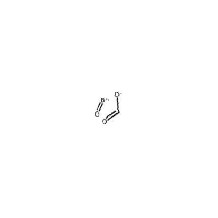 O=C[O-].[O]=[Bi+]